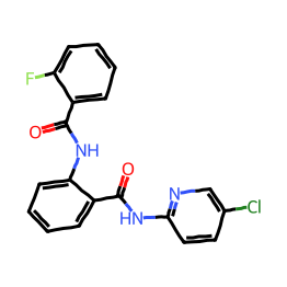 O=C(Nc1ccccc1C(=O)Nc1ccc(Cl)cn1)c1ccccc1F